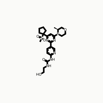 C[C@H]1COCCN1c1cc(C2(S(C)(=O)=O)CCCC2)nc(-c2ccc(NC(=O)NCCO)nc2)n1